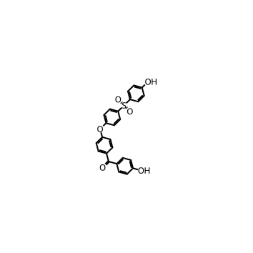 O=C(c1ccc(O)cc1)c1ccc(Oc2ccc(S(=O)(=O)c3ccc(O)cc3)cc2)cc1